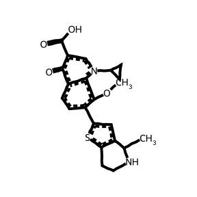 COc1c(-c2cc3c(s2)CCNC3C)ccc2c(=O)c(C(=O)O)cn(C3CC3)c12